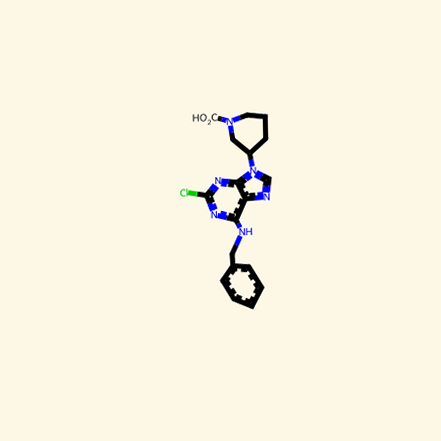 O=C(O)N1CCCC(n2cnc3c(NCc4ccccc4)nc(Cl)nc32)C1